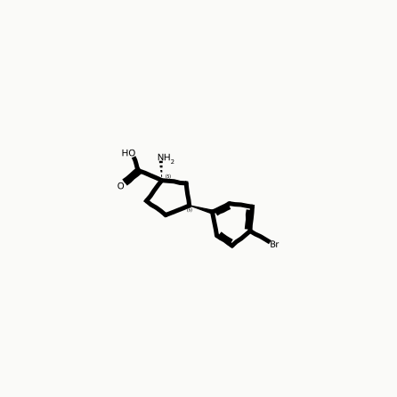 N[C@@]1(C(=O)O)CC[C@H](c2ccc(Br)cc2)C1